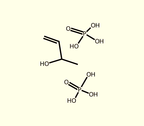 C=CC(C)O.O=P(O)(O)O.O=P(O)(O)O